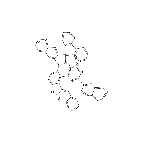 c1ccc(-c2cccc(-c3nc(-c4ccc5ccccc5c4)nc(-c4c(-n5c6ccccc6c6cc7ccccc7cc65)ccc5oc6cc7ccccc7cc6c45)n3)c2)cc1